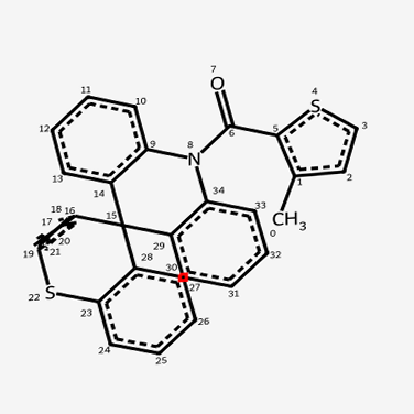 Cc1ccsc1C(=O)N1c2ccccc2C2(c3ccccc3Sc3ccccc32)c2ccccc21